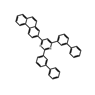 c1ccc(-c2cccc(-c3cc(-c4ccc5c(ccc6ccccc65)c4)nc(-c4cccc(-c5ccccc5)c4)n3)c2)cc1